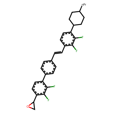 CCCC1CCC(c2ccc(/C=C/c3ccc(-c4ccc(C5CO5)c(F)c4F)cc3)c(F)c2F)CC1